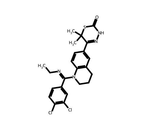 CCN=C(c1ccc(Cl)c(Cl)c1)N1CCCc2cc(C3=NNC(=O)SC3(C)C)ccc21